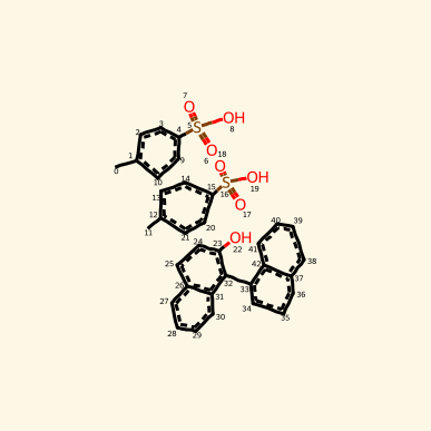 Cc1ccc(S(=O)(=O)O)cc1.Cc1ccc(S(=O)(=O)O)cc1.Oc1ccc2ccccc2c1-c1cccc2ccccc12